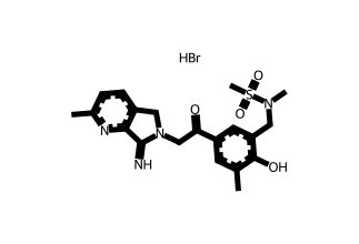 Br.Cc1ccc2c(n1)C(=N)N(CC(=O)c1cc(C)c(O)c(CN(C)S(C)(=O)=O)c1)C2